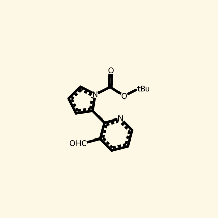 CC(C)(C)OC(=O)n1cccc1-c1ncccc1C=O